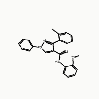 COc1ccccc1NC(=O)c1cn(-c2ccccc2)nc1-c1ccccc1C